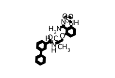 CC(C)(COc1cccc2c1C(N)=NS(=O)(=O)N2)NC(=O)c1cccc(-c2ccccc2)c1